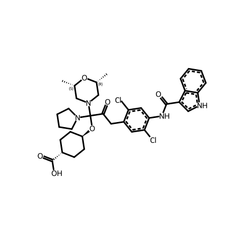 C[C@@H]1CN(C(O[C@H]2CC[C@H](C(=O)O)CC2)(C(=O)Cc2cc(Cl)c(NC(=O)c3c[nH]c4ccccc34)cc2Cl)N2CCCC2)C[C@H](C)O1